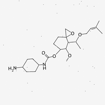 COC1C(OC(=O)NC2CCC(N)CC2)CCC2(CO2)C1C(C)OCC=C(C)C